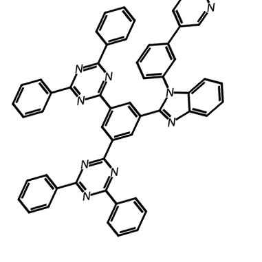 c1ccc(-c2nc(-c3ccccc3)nc(-c3cc(-c4nc(-c5ccccc5)nc(-c5ccccc5)n4)cc(-c4nc5ccccc5n4-c4cccc(-c5cccnc5)c4)c3)n2)cc1